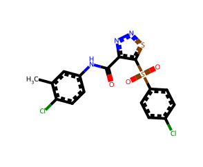 Cc1cc(NC(=O)c2nnsc2S(=O)(=O)c2ccc(Cl)cc2)ccc1Cl